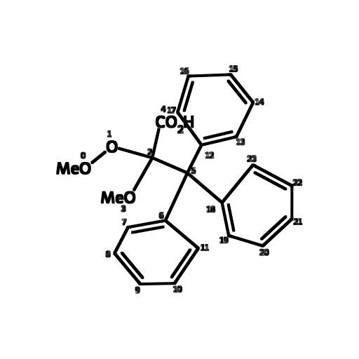 COOC(OC)(C(=O)O)C(c1ccccc1)(c1ccccc1)c1ccccc1